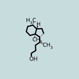 C[C@H](CCCO)[C@H]1CC[C@H]2[C@@H](C)CCC[C@]12C